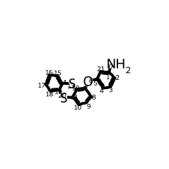 Nc1cccc(Oc2cccc3c2Sc2ccccc2S3)c1